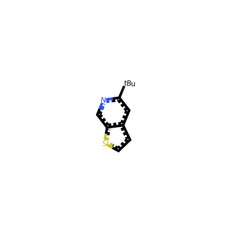 CC(C)(C)c1cc2ccsc2cn1